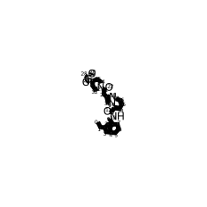 CCC1CC2CCCC(CNC(=O)c3cccc4nc(CC(=O)N5CCC(S(C)(=O)=O)CC5)cn34)(C1)C2